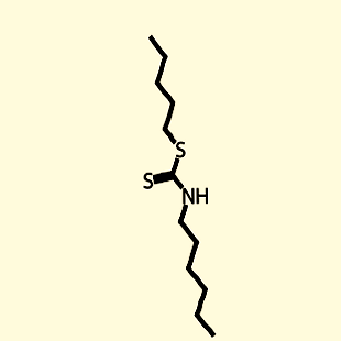 CCCCCCNC(=S)SCCCCC